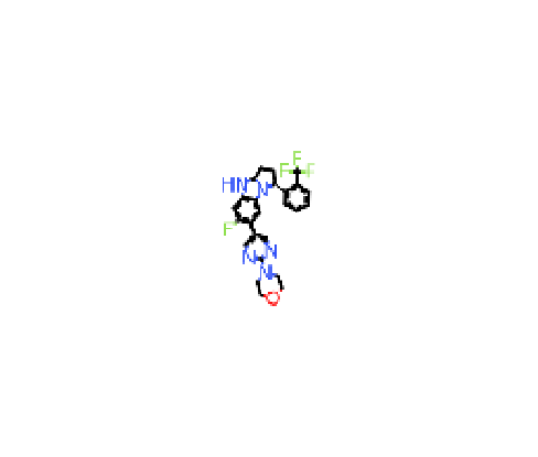 Fc1cc2c(cc1-c1cnc(N3CCOCC3)nc1)N1C(CC[C@H]1c1ccccc1C(F)(F)F)N2